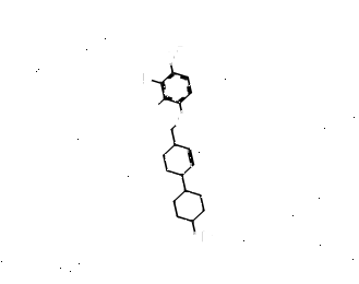 CCCC1CCC(C2C=CC(COc3ccc(OCC)c(F)c3F)CC2)CC1